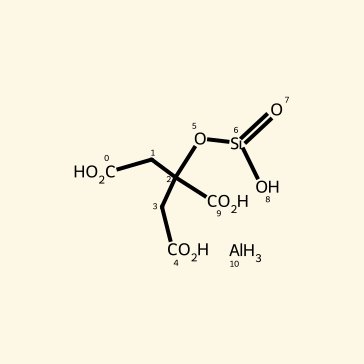 O=C(O)CC(CC(=O)O)(O[Si](=O)O)C(=O)O.[AlH3]